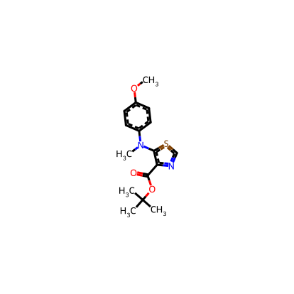 COc1ccc(N(C)c2scnc2C(=O)OC(C)(C)C)cc1